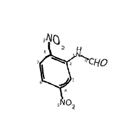 O=CNc1cc([N+](=O)[O-])ccc1[N+](=O)[O-]